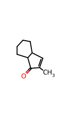 CC1=CC2CCCCC2C1=O